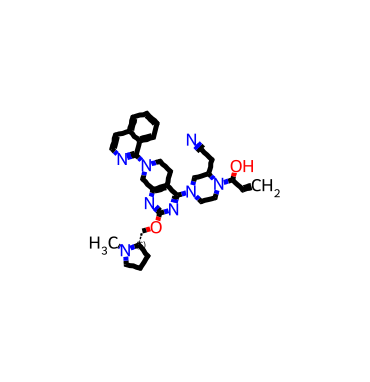 C=CC(O)N1CCN(c2nc(OC[C@@H]3CCCN3C)nc3c2CCN(c2nccc4ccccc24)C3)CC1CC#N